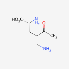 NCC(C[C@@H](N)C(=O)O)C(=O)C(F)(F)F